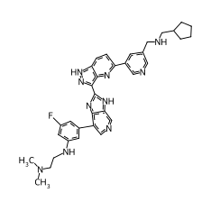 CN(C)CCNc1cc(F)cc(-c2cncc3[nH]c(-c4n[nH]c5ccc(-c6cncc(CNCC7CCCC7)c6)nc45)nc23)c1